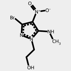 CNc1c([N+](=O)[O-])c(Br)nn1CCO